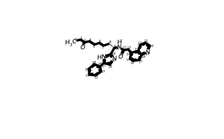 CCC(=O)CCCCC[C@H](NC(=O)Cc1cccc2ncccc12)c1ncc(-c2ccccc2)[nH]1